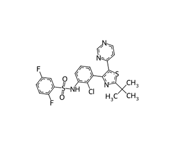 CC(C)(C)c1nc(-c2cccc(NS(=O)(=O)c3cc(F)ccc3F)c2Cl)c(-c2ccncn2)s1